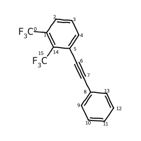 FC(F)(F)c1cccc(C#Cc2ccccc2)c1C(F)(F)F